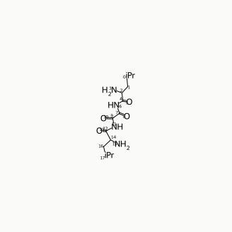 CC(C)CC(N)C(=O)NC(=O)C(=O)NC(=O)C(N)CC(C)C